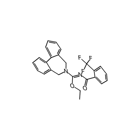 CCO/C(=N\C(=O)c1ccccc1C(F)(F)F)N1Cc2ccccc2-c2ccccc2C1